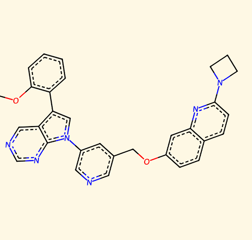 COc1ccccc1-c1cn(-c2cncc(COc3ccc4ccc(N5CCC5)nc4c3)c2)c2ncncc12